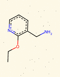 CCOc1ncccc1CN